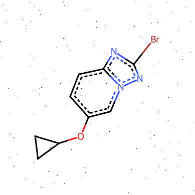 Brc1nc2ccc(OC3CC3)cn2n1